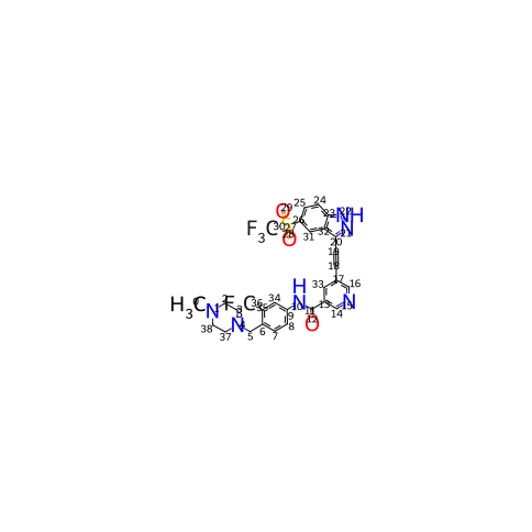 CN1CCN(Cc2ccc(NC(=O)c3cncc(C#Cc4n[nH]c5ccc(S(=O)(=O)C(F)(F)F)cc45)c3)cc2C(F)(F)F)CC1